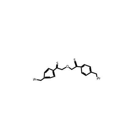 CC(C)Cc1ccc(C(=S)COCC(=S)c2ccc(CC(C)C)cc2)cc1